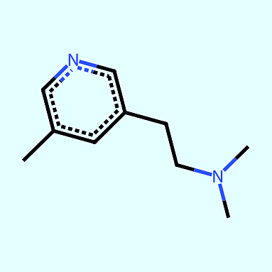 Cc1cncc(CCN(C)C)c1